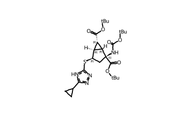 CC(C)(C)OC(=O)N[C@@]1(C(=O)OC(C)(C)C)C[C@@H](Sc2nnc(C3CC3)[nH]2)[C@H]2[C@H](C(=O)OC(C)(C)C)[C@H]21